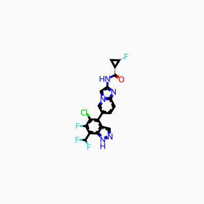 O=C(Nc1cn2cc(-c3c(Cl)c(F)c(C(F)F)c4[nH]ncc34)ccc2n1)[C@@H]1C[C@@H]1F